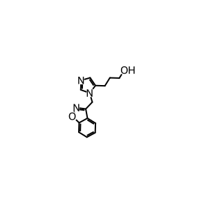 OCCCc1cncn1Cc1noc2ccccc12